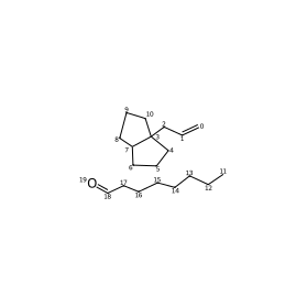 C=CCC12CCCC1CCC2.CCCCCCCC=O